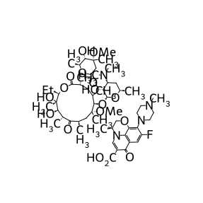 CC[C@H]1OC(=O)[C@H](C)[C@@H](O[C@H]2C[C@@](C)(OC)[C@@H](O)[C@H](C)O2)C(C)[C@@H](O[C@@H]2O[C@H](C)C[C@H](N(C)C)[C@H]2O)[C@](C)(OC)C[C@@H](C)C(=O)[C@H](C)[C@@H](O)[C@]1(C)O.C[C@H]1COc2c(N3CCN(C)CC3)c(F)cc3c(=O)c(C(=O)O)cn1c23